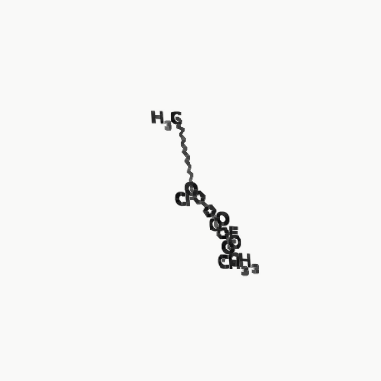 CCCCCCCCCCCCCCCCOc1ccc(-c2ccc(C(=O)Oc3ccc(C(=O)OCC(C)CC)c(F)c3)cc2)cc1Cl